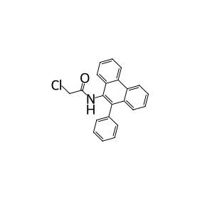 O=C(CCl)Nc1c(-c2ccccc2)c2ccccc2c2ccccc12